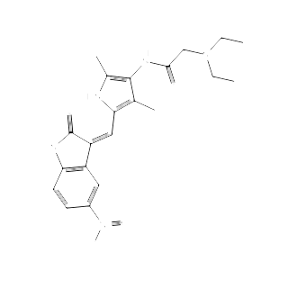 CCN(CC)CC(=O)Nc1c(C)[nH]c(/C=C2\C(=O)Nc3ccc([N+](=O)[O-])cc32)c1C